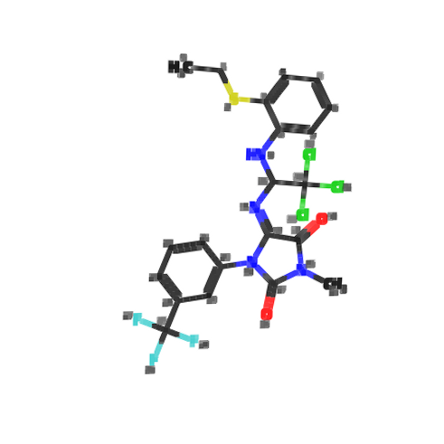 CCSc1ccccc1NC(N=C1C(=O)N(C)C(=O)N1c1cccc(C(F)(F)F)c1)C(Cl)(Cl)Cl